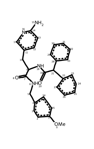 COc1ccc(CNC(=O)C(Cc2ccc(N)nc2)NC(=O)C(c2ccccc2)c2ccccc2)cc1